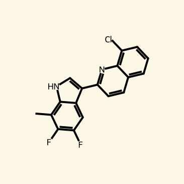 Cc1c(F)c(F)cc2c(-c3ccc4cccc(Cl)c4n3)c[nH]c12